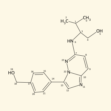 CC(C)C(CO)Nc1ccc2ncc(-c3ccc(CO)cc3)n2n1